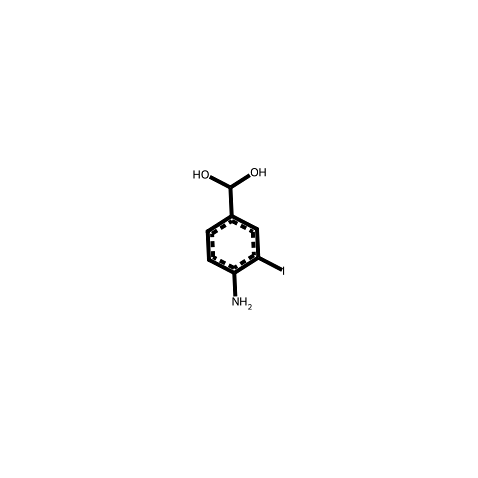 Nc1ccc(C(O)O)cc1I